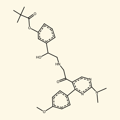 COc1ccc(-c2nc(N(C)C)ncc2C(=O)CNCC(O)c2cccc(OC(=O)C(C)(C)C)c2)cc1